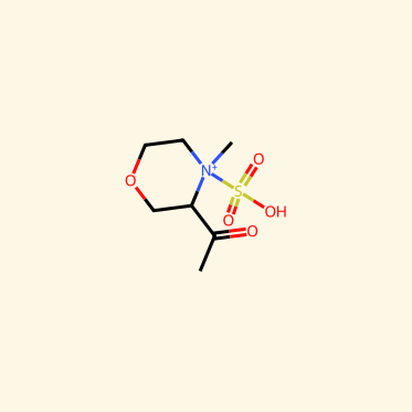 CC(=O)C1COCC[N+]1(C)S(=O)(=O)O